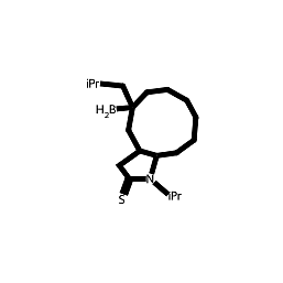 BC1(CC(C)C)CCCCCCC2C(CC(=S)N2C(C)C)C1